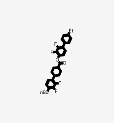 CCCCc1ccc(C2CCC(C(=O)Oc3ccc(-c4ccc(CC)cc4)c(F)c3F)CC2)c(F)c1F